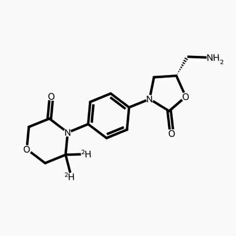 [2H]C1([2H])COCC(=O)N1c1ccc(N2C[C@H](CN)OC2=O)cc1